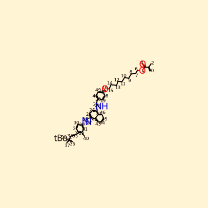 C=C(C)C(=O)OCCCCCCCCCCOc1ccc(CNc2ccc(/N=N/c3ccc(CCC(C)(C)C(C)(C)C)c(C)c3)c3ccccc23)cc1